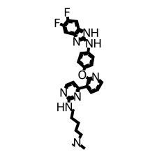 CN(C)CCCCCNc1nccc(-c2cccnc2Oc2ccc(Nc3nc4cc(F)c(F)cc4[nH]3)cc2)n1